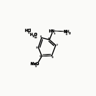 COc1ccc(NN)cc1.Cl.O